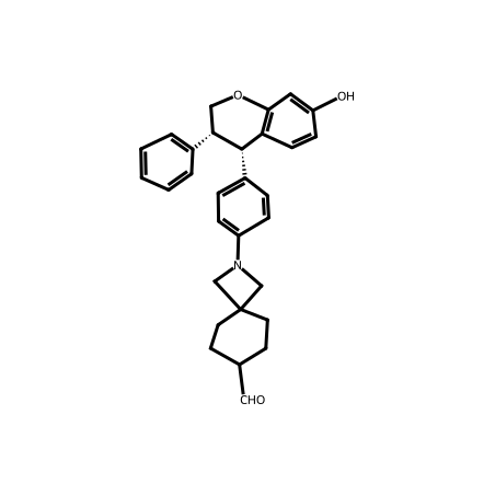 O=CC1CCC2(CC1)CN(c1ccc([C@H]3c4ccc(O)cc4OC[C@H]3c3ccccc3)cc1)C2